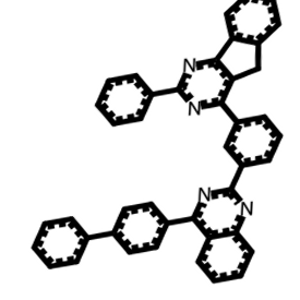 c1ccc(-c2ccc(-c3nc(-c4cccc(-c5nc(-c6ccccc6)nc6c5Cc5ccccc5-6)c4)nc4ccccc34)cc2)cc1